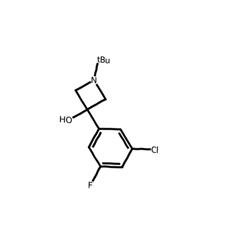 CC(C)(C)N1CC(O)(c2cc(F)cc(Cl)c2)C1